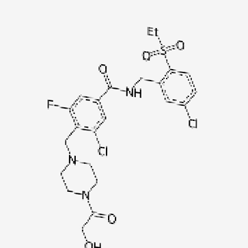 CCS(=O)(=O)c1ccc(Cl)cc1CNC(=O)c1cc(F)c(CN2CCN(C(=O)CO)CC2)c(Cl)c1